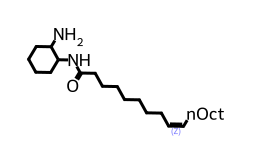 CCCCCCCC/C=C\CCCCCCCC(=O)NC1CCCCC1N